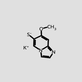 COc1cc2nccn2cc1[S-].[K+]